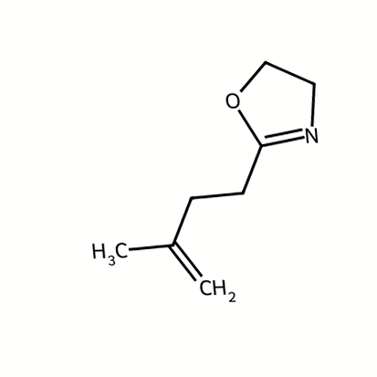 C=C(C)CCC1=NCCO1